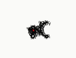 CCCC(NC(=O)[C@@H]1[C@@H]2[C@H](CN1C(=O)[C@@H](NC(=O)NC1(CS(=O)(=O)C(C)(C)C)CCCCC1)C1(C)CCCCC1)[C@@]2(C)COCc1ccccc1)C(=O)C(=O)NC1CC1